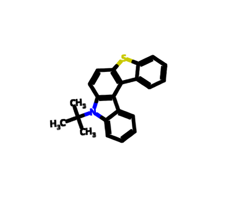 CC(C)(C)n1c2ccccc2c2c3c(ccc21)sc1ccccc13